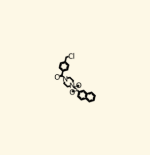 O=C(c1ccc(CCl)cc1)N1CCN(S(=O)(=O)c2ccc3ccccc3c2)CC1